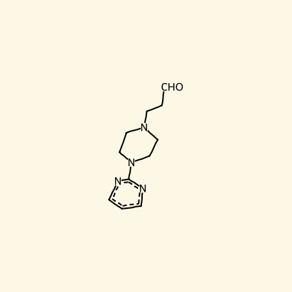 O=CCCN1CCN(c2ncccn2)CC1